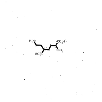 NCCC(CCC(N)C(=O)O)S(=O)(=O)O